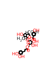 C=C1[C@H]2[C@H](O[C@@H]3O[C@H](COC(=O)/C=C/c4ccc(O)c(O)c4)[C@@H](O)[C@H](O)[C@H]3OC(=O)c3ccc(O)cc3)OC=C(C(=O)O)[C@H]2C[C@@H]1O